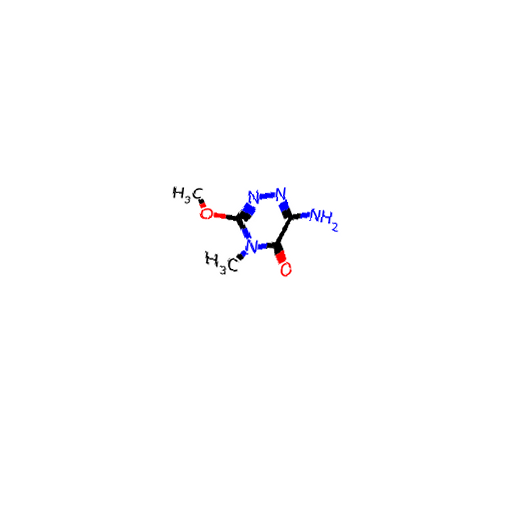 COc1nnc(N)c(=O)n1C